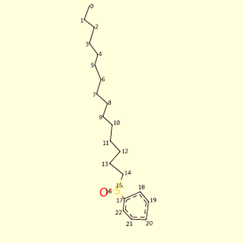 CCCCCCCCCCCCCCC[S+]([O-])c1ccccc1